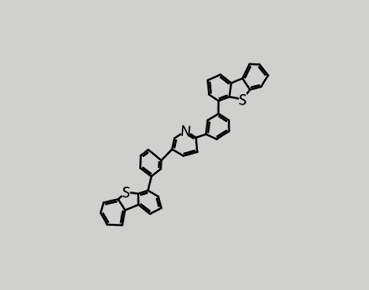 c1cc(-c2ccc(-c3cccc(-c4cccc5c4sc4ccccc45)c3)nc2)cc(-c2cccc3c2sc2ccccc23)c1